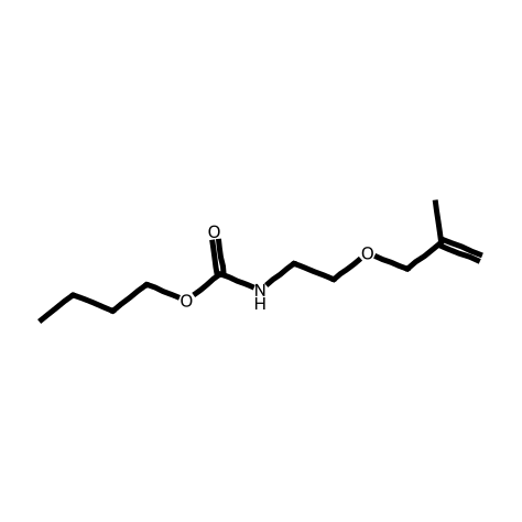 C=C(C)COCCNC(=O)OCCCC